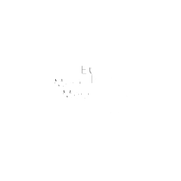 CCP(CC)(OC)(OC)c1ccccc1